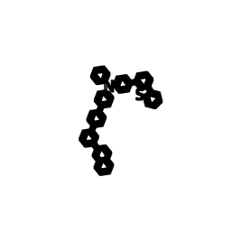 c1ccc(N(c2ccc(-c3ccc(-c4cccc(-c5ccc6ccccc6c5)c4)cc3)cc2)c2ccc(-c3cccc4c3sc3ccccc34)cc2)cc1